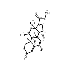 C[C@]12CCC(=O)C=C1C(F)=C[C@H]1[C@@H]3CC[C@](O)(C(=O)CO)[C@@]3(C)CC(O)[C@@]12F